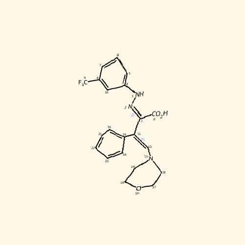 O=C(O)C(=N\Nc1cccc(C(F)(F)F)c1)/C(=C/N1CCOCC1)c1ccccc1